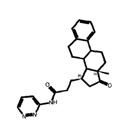 C[C@]12CCC3c4ccccc4CCC3C1[C@H](CCC(=O)Nc1cccnn1)CC2=O